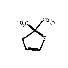 O=C(O)C1(C(=O)O)CC=CS1